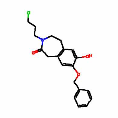 O=C1Cc2cc(OCc3ccccc3)c(O)cc2CCN1CCCCl